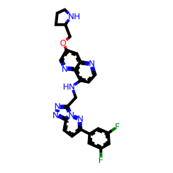 Fc1cc(F)cc(-c2ccc3nnc(CNc4ccnc5cc(OCC6CCCN6)cnc45)n3n2)c1